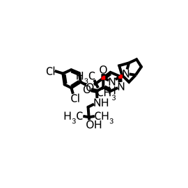 CC(C)(O)CNC(=O)c1ccc(N2C3CCC2CC(NC(=O)C(C)(C)Oc2ccc(Cl)cc2Cl)C3)nc1